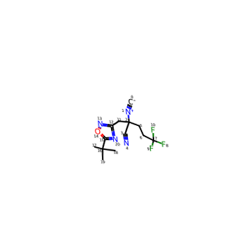 [C-]#[N+]C(C#N)(CCC(F)(F)F)Cc1noc(C(C)(C)C)n1